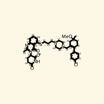 COC1(C)CCC(c2ccc(Cl)cc2)=C(CN2CCN(CCCSc3cccc4nc(C)n(C5CCC(=O)NC5=O)c(=O)c34)CC2)C1